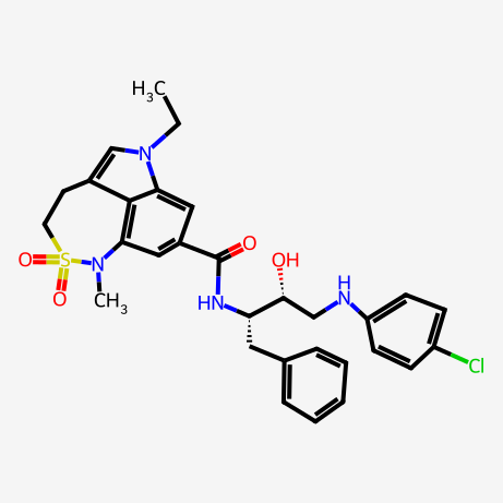 CCn1cc2c3c(cc(C(=O)N[C@@H](Cc4ccccc4)[C@H](O)CNc4ccc(Cl)cc4)cc31)N(C)S(=O)(=O)CC2